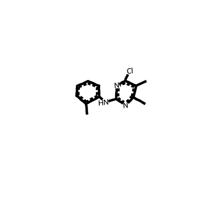 Cc1ccccc1Nc1nc(C)c(C)c(Cl)n1